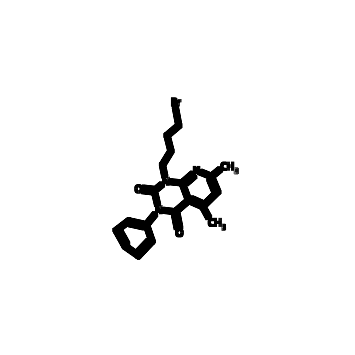 Cc1cc(C)c2c(=O)n(-c3ccccc3)c(=O)n(CCCCBr)c2n1